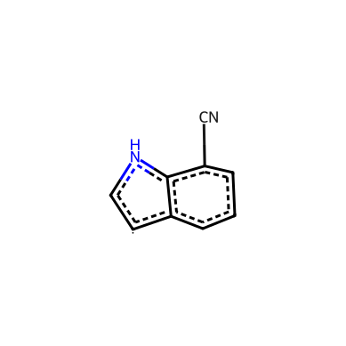 N#Cc1cccc2[c]c[nH]c12